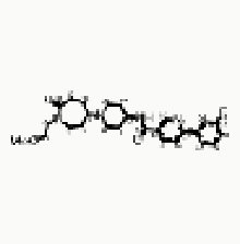 COCCN1CCC(N2CCC(NC(=O)c3ccc(-c4cccc(F)c4)nc3)CC2)CCC1=O